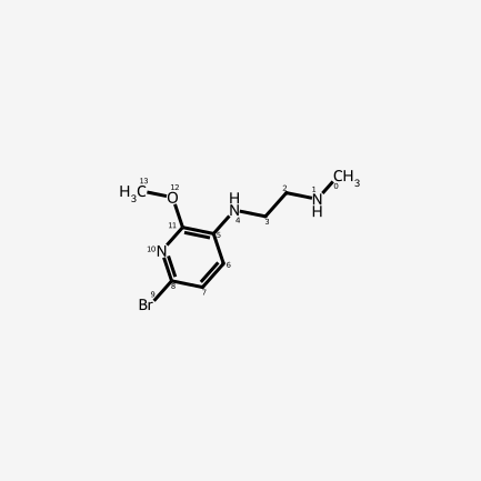 CNCCNc1ccc(Br)nc1OC